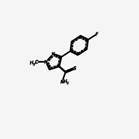 Cn1cc(C(N)=S)c(-c2ccc(F)cc2)n1